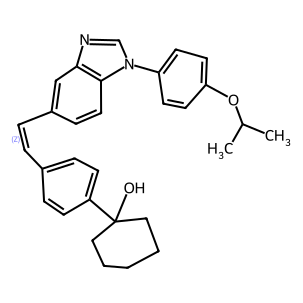 CC(C)Oc1ccc(-n2cnc3cc(/C=C\c4ccc(C5(O)CCCCC5)cc4)ccc32)cc1